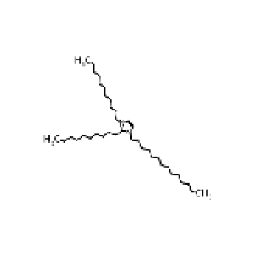 CCCCCCCCCCCCCCN1C=CN(CCCCCCCCCCC)C1CCCCCCCCCC